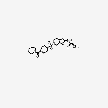 C=CC(=O)NC1CC2CCN(S(=O)(=O)C3CCN(C(=O)N4CCCCC4)CC3)CC2O1